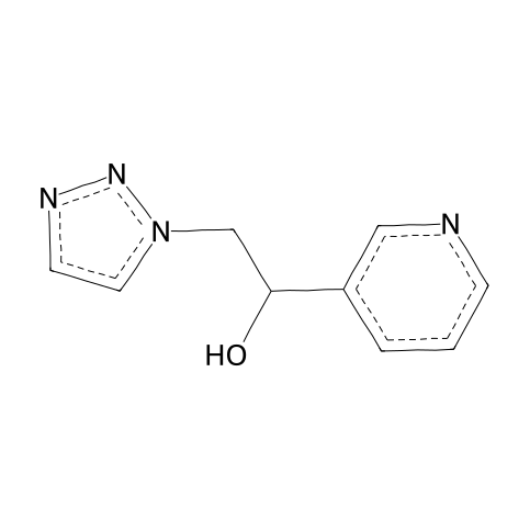 OC(Cn1ccnn1)c1cccnc1